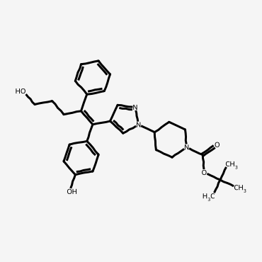 CC(C)(C)OC(=O)N1CCC(n2cc(/C(=C(/CCCO)c3ccccc3)c3ccc(O)cc3)cn2)CC1